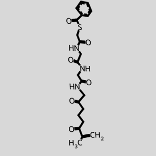 C=C(C)C(=O)CCCC(=O)CNC(=O)CNC(=O)CNC(=O)CSC(=O)c1ccccc1